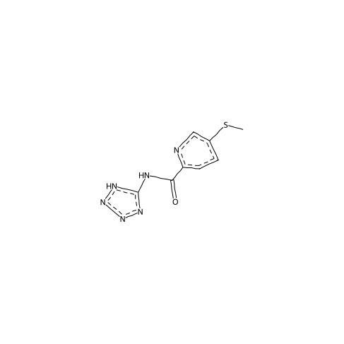 CSc1ccc(C(=O)Nc2nnn[nH]2)nc1